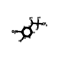 O=[N+]([O-])c1cc(C(F)C(F)(F)C(F)(F)F)ccc1F